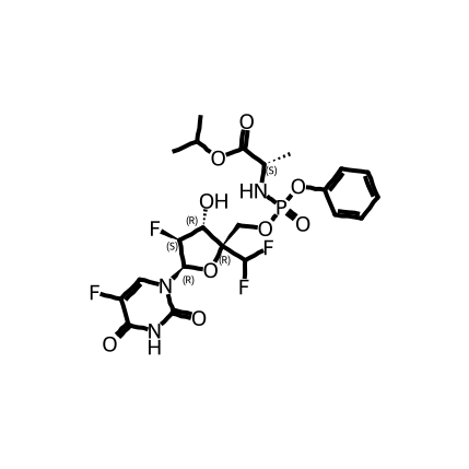 CC(C)OC(=O)[C@H](C)NP(=O)(OC[C@@]1(C(F)F)O[C@@H](n2cc(F)c(=O)[nH]c2=O)[C@@H](F)[C@@H]1O)Oc1ccccc1